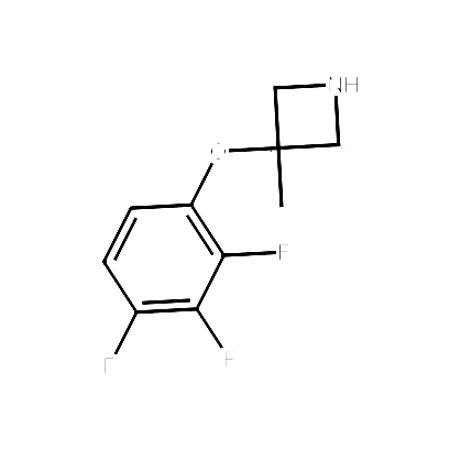 CC1(Oc2ccc(F)c(F)c2F)CNC1